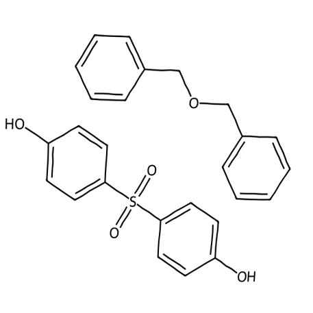 O=S(=O)(c1ccc(O)cc1)c1ccc(O)cc1.c1ccc(COCc2ccccc2)cc1